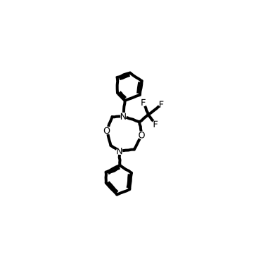 FC(F)(F)C1OCN(c2ccccc2)COCN1c1ccccc1